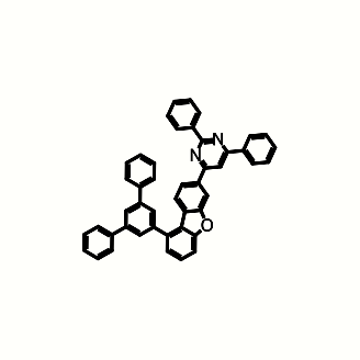 c1ccc(-c2cc(-c3ccccc3)cc(-c3cccc4oc5cc(-c6cc(-c7ccccc7)nc(-c7ccccc7)n6)ccc5c34)c2)cc1